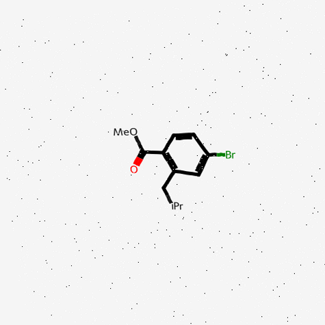 COC(=O)c1ccc(Br)cc1CC(C)C